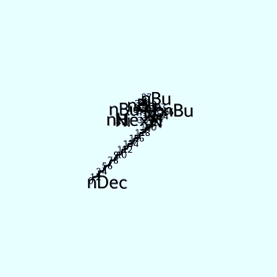 CCCCCCCCCCCCCCCCCCCCCCCCCCCCC=CC(=Nc1cc(CCCC)cc(CCCC)c1)C(CCCCCC)=Nc1cc(CCCC)cc(CCCC)c1.[Ni]